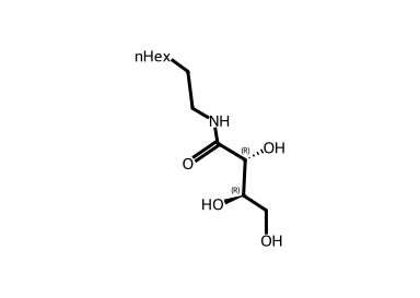 CCCCCCCCNC(=O)[C@H](O)[C@H](O)CO